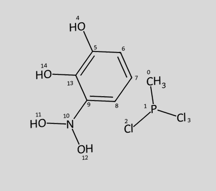 CP(Cl)Cl.Oc1cccc(N(O)O)c1O